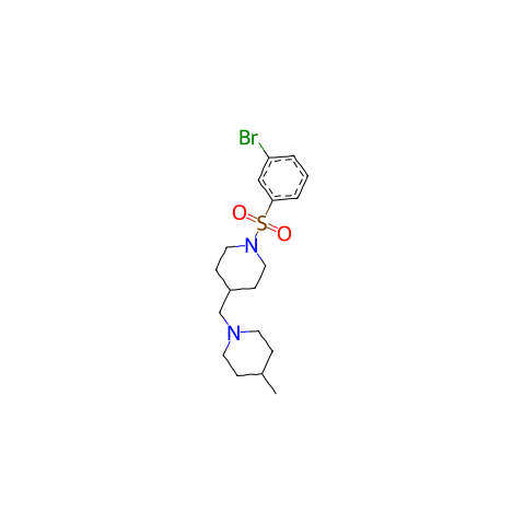 CC1CCN(CC2CCN(S(=O)(=O)c3cccc(Br)c3)CC2)CC1